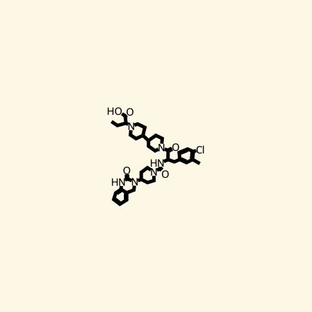 CCC(C(=O)O)N1CCC(C2CCN(C(=O)C(Cc3ccc(Cl)c(C)c3)NC(=O)N3CCC(N4Cc5ccccc5NC4=O)CC3)CC2)CC1